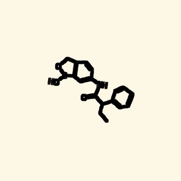 CCC(C(=O)Nc1ccc2c(c1)B(O)OC2)c1ccccc1